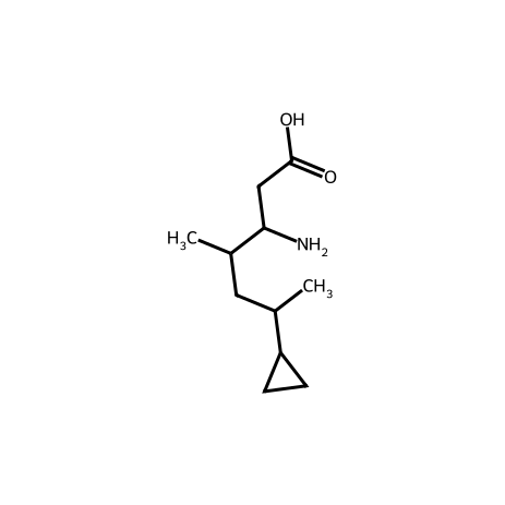 CC(CC(C)C1CC1)C(N)CC(=O)O